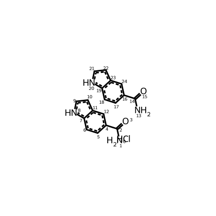 Cl.NC(=O)c1ccc2[nH]ccc2c1.NC(=O)c1ccc2[nH]ccc2c1